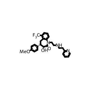 COc1ccc([C@@H]2Cc3c(cccc3C(F)(F)F)N(CCNCCc3ccccn3)C(=O)[C@@H]2O)cc1